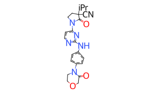 CC(C)C1(C#N)CCN(c2ccnc(Nc3ccc(N4CCOCC4=O)cc3)n2)C1=O